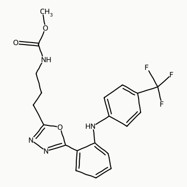 COC(=O)NCCCc1nnc(-c2ccccc2Nc2ccc(C(F)(F)F)cc2)o1